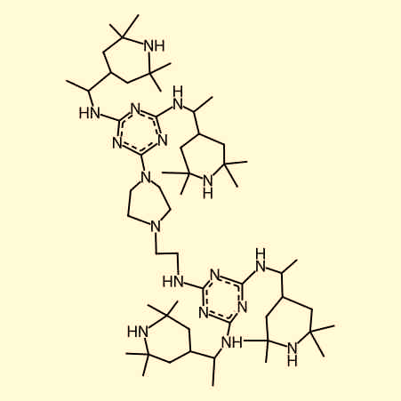 CC(Nc1nc(NCCN2CCN(c3nc(NC(C)C4CC(C)(C)NC(C)(C)C4)nc(NC(C)C4CC(C)(C)NC(C)(C)C4)n3)CC2)nc(NC(C)C2CC(C)(C)NC(C)(C)C2)n1)C1CC(C)(C)NC(C)(C)C1